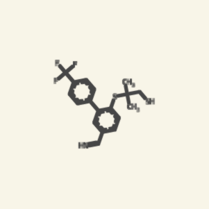 CC(C)(CS)Sc1ccc(C=N)cc1-c1ccc(C(F)(F)F)cc1